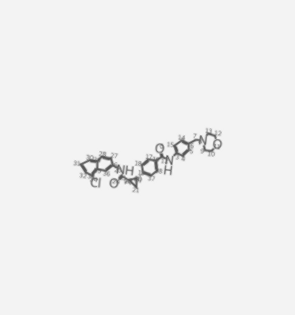 O=C(Nc1ccc(CN2CCOCC2)cc1)c1ccc([C@@H]2C[C@H]2C(=O)Nc2ccc3cccc(Cl)c3c2)cc1